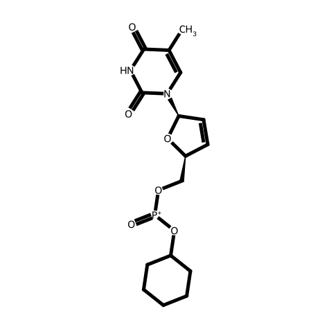 Cc1cn([C@H]2C=C[C@@H](CO[P+](=O)OC3CCCCC3)O2)c(=O)[nH]c1=O